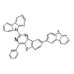 c1ccc(-c2nc(-n3c4ccccc4c4ccccc43)nc3c2sc2ccc(-c4ccc5sc6ccccc6c5c4)cc23)cc1